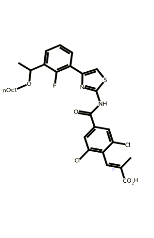 CCCCCCCCOC(C)c1cccc(-c2csc(NC(=O)c3cc(Cl)c(/C=C(\C)C(=O)O)c(Cl)c3)n2)c1F